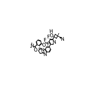 CN(C)C(=O)c1cccc(OC(F)F)c1[C@H]1CCc2nc3ccc(-c4cnc([C@]5(O)C[C@@](C)(C#N)C5)c(F)c4)cc3n21